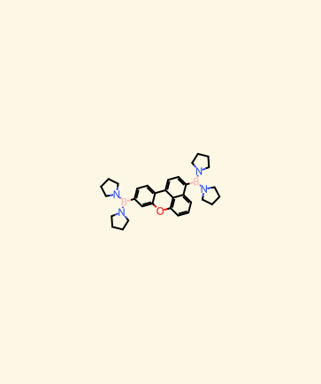 c1cc2c3c(ccc(B(N4CCCC4)N4CCCC4)c3c1)-c1ccc(B(N3CCCC3)N3CCCC3)cc1O2